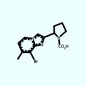 Cc1ccn2cc(C3CCCN3C(=O)O)nc2c1Br